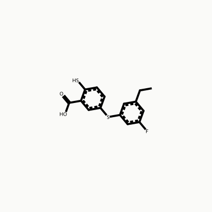 CCc1cc(F)cc(Sc2ccc(S)c(C(=O)O)c2)c1